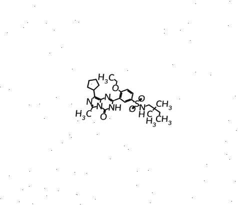 CCOc1ccc(S(=O)(=O)NCC(C)(C)CC)cc1-c1nc2c(C3CCCC3)nc(C)n2c(=O)[nH]1